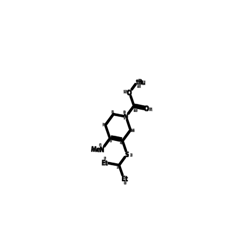 CCC(CC)SC1=C(NC)CCN(C(=O)OC(C)(C)C)C1